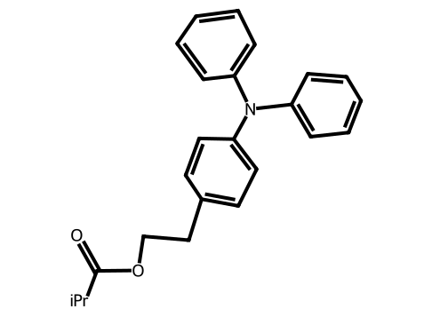 CC(C)C(=O)OCCc1ccc(N(c2ccccc2)c2ccccc2)cc1